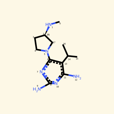 CN[C@@H]1CCN(c2nc(N)nc(N)c2C(C)C)C1